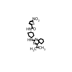 CN(C)c1nc(N[C@H]2CC[C@@H](NC(=O)c3ccc([N+](=O)[O-])s3)CC2)nc2c1CCCC2